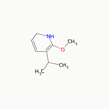 COC1=C(C(C)C)C=CCN1